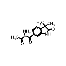 CC(=O)N(N)C(=O)c1ccc2c(c1)NC(=O)C2(C)C